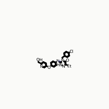 CCc1n[nH]/c(=N\c2ccc(Oc3ccc(CO)nc3)cc2)n(Cc2ccc(Cl)cc2)c1=O